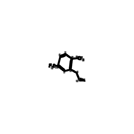 CC(C)(C)Cc1cc(C(F)(F)F)ccc1C(F)(F)F